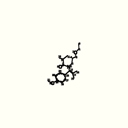 CCOCCCN(C(=O)C(C)C)C(=C(C)C)c1ccc(OC)cc1